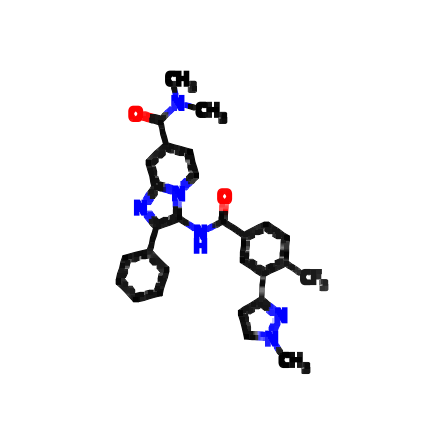 CN(C)C(=O)c1ccn2c(NC(=O)c3ccc(C(F)(F)F)c(-c4ccn(C)n4)c3)c(-c3ccccc3)nc2c1